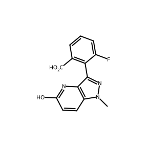 Cn1nc(-c2c(F)cccc2C(=O)O)c2nc(O)ccc21